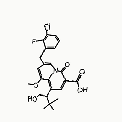 COc1cc(Cc2cccc(Cl)c2F)cn2c(=O)c(C(=O)O)cc([C@H](CO)C(C)(C)C)c12